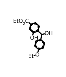 CCOC(=O)c1ccc(C(O)c2ccc(OCC)cc2)c(O)c1